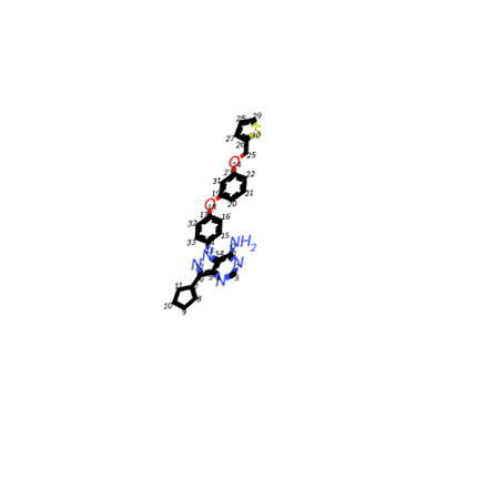 Nc1ncnc2c(C3CCCC3)nn(-c3ccc(Oc4cccc(OCc5cccs5)c4)cc3)c12